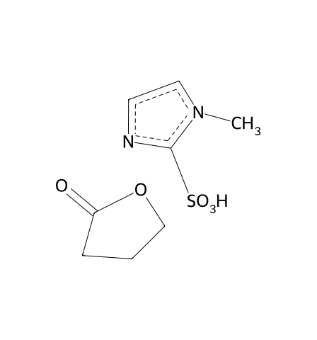 Cn1ccnc1S(=O)(=O)O.O=C1CCCO1